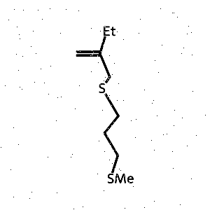 C=C(CC)CSCCCSC